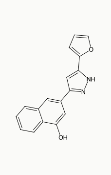 Oc1cc(-c2cc(-c3ccco3)[nH]n2)cc2ccccc12